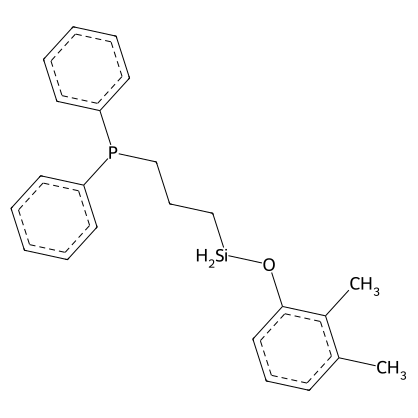 Cc1cccc(O[SiH2]CCCP(c2ccccc2)c2ccccc2)c1C